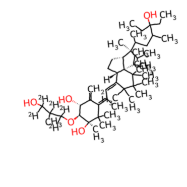 [2H]C([2H])(O)C([2H])(C)C([2H])([2H])O[C@H]1[C@H](O)C(=C)/C(=C(C)\C=C2\[C@@H]3CC[C@H]([C@](C)(C(C)C)C(C)CC(C)C(O)(CC)CC)[C@@]3(C(C)C)C(C)(C)C(C)(C)C2(C)C)C(C)(C)[C@@]1(C)O